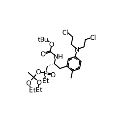 CCOC(C)(OCC)OP(=O)(CC)C[C@@H](Cc1cc(N(CCCl)CCCl)ccc1C)NC(=O)OC(C)(C)C